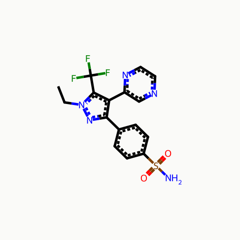 CCn1nc(-c2ccc(S(N)(=O)=O)cc2)c(-c2cnccn2)c1C(F)(F)F